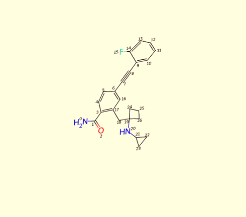 NC(=O)c1ccc(C#Cc2ccccc2F)cc1CC1(NC2CC2)CCC1